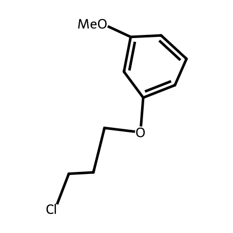 COc1cccc(OCCCCl)c1